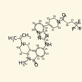 CC(C)N1CCC(N(C)C(=O)c2ccc(Nc3nc4c(C5=CCN(C(=O)CCC(F)(F)F)CC5)cccn4n3)cc2)CC1